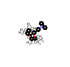 Cc1c(C)c(C)c2c3c(cc(C)c2c1C)Oc1cc(C)c2c(C)c(C)c(C)c(C)c2c1C3c1ccc(-c2ccc(-n3c4ccccc4c4ccccc43)cc2)cc1